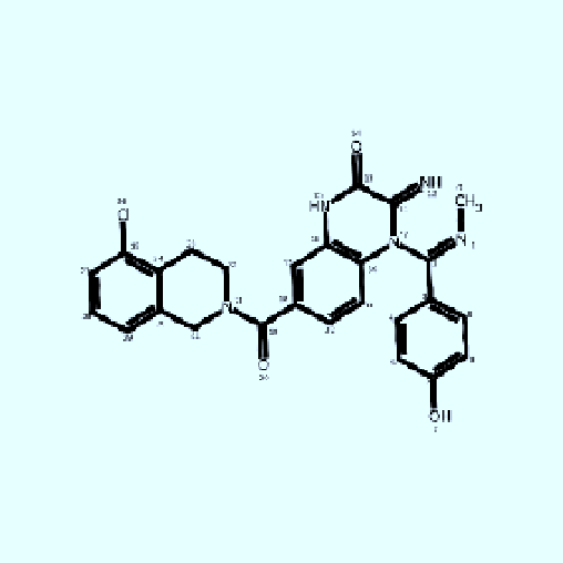 C/N=C(/c1ccc(O)cc1)n1c(=N)c(=O)[nH]c2cc(C(=O)N3CCc4c(Cl)cccc4C3)ccc21